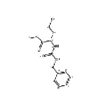 COC(=O)[C@H](CCBr)NC(=O)OCc1ccccc1